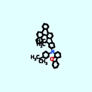 CC(C)c1ccc(N(c2ccc3c(c2)C(C)(C)c2c-3ccc3c4ccccc4c4ccc5ccccc5c4c23)c2cccc3c2oc2ccccc23)cc1